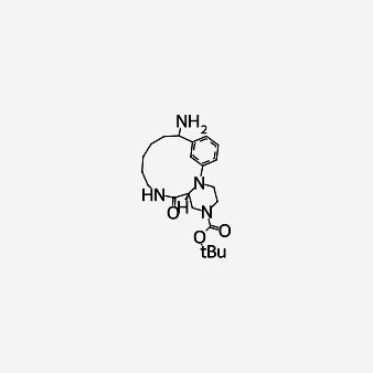 CC(C)(C)OC(=O)N1CCN2c3cccc(c3)C(N)CCCCCNC(=O)[C@H]2C1